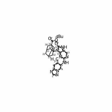 Cc1cc2ncnn2cc1Nc1ncc2[nH]c(=O)n(C34CC5CC(CC(C(=O)OC(C)(C)C)(C5)C3)C4)c2n1